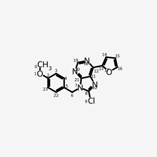 COc1ccc(Cn2c(Cl)nc3c(-c4ccco4)ncnc32)cc1